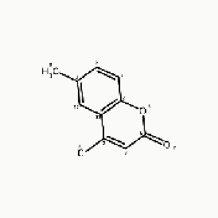 Cc1ccc2oc(=O)cc(Cl)c2c1